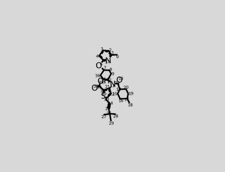 Cc1cccc(OC2CCC(N(C(=O)C3CCC(C)CC3)c3cc(C#CC(C)(C)C)sc3C(=O)O)CC2)n1